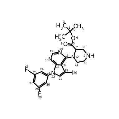 CC(C)(C)OC(=O)C1CNCCN1c1ncnc2c1c(I)cn2-c1cc(F)cc(F)c1